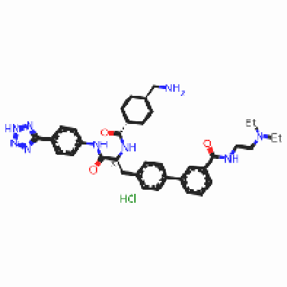 CCN(CC)CCNC(=O)c1cccc(-c2ccc(C[C@H](NC(=O)[C@H]3CC[C@H](CN)CC3)C(=O)Nc3ccc(-c4nn[nH]n4)cc3)cc2)c1.Cl